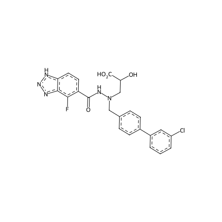 O=C(NN(Cc1ccc(-c2cccc(Cl)c2)cc1)CC(O)C(=O)O)c1ccc2[nH]nnc2c1F